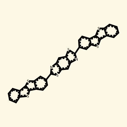 c1ccc2c(c1)sc1c3ccc(-c4nc5cc6sc(-c7ccc8c(c7)sc7c9ccccc9sc87)nc6cc5s4)cc3sc21